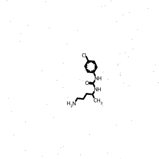 CC(CCCN)NC(=O)Nc1ccc(Cl)cc1